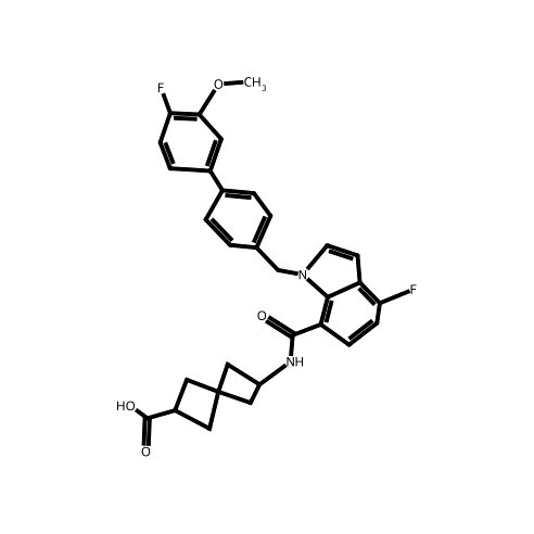 COc1cc(-c2ccc(Cn3ccc4c(F)ccc(C(=O)NC5CC6(C5)CC(C(=O)O)C6)c43)cc2)ccc1F